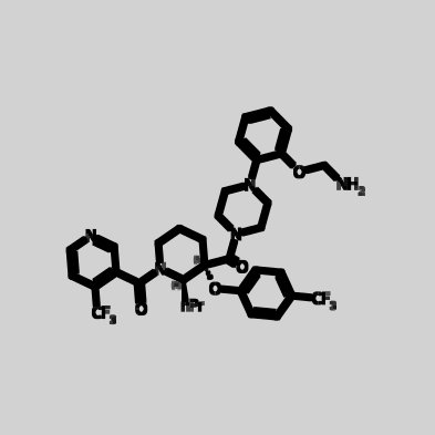 CCC[C@H]1N(C(=O)c2cnccc2C(F)(F)F)CCC[C@@]1(Oc1ccc(C(F)(F)F)cc1)C(=O)N1CCN(c2ccccc2OCN)CC1